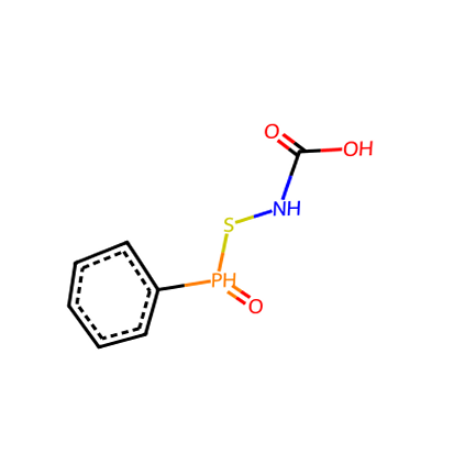 O=C(O)NS[PH](=O)c1ccccc1